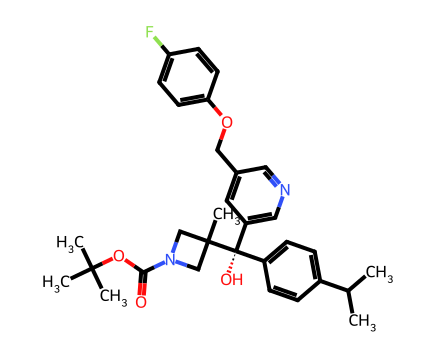 CC(C)c1ccc([C@](O)(c2cncc(COc3ccc(F)cc3)c2)C2(C)CN(C(=O)OC(C)(C)C)C2)cc1